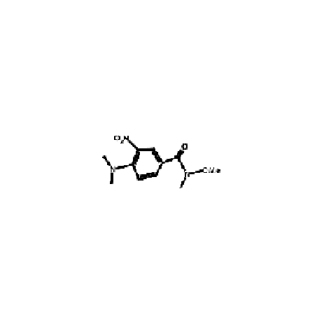 CON(C)C(=O)c1ccc(N(C)C)c([N+](=O)[O-])c1